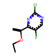 C=C(OCC)c1nc(Cl)ncc1F